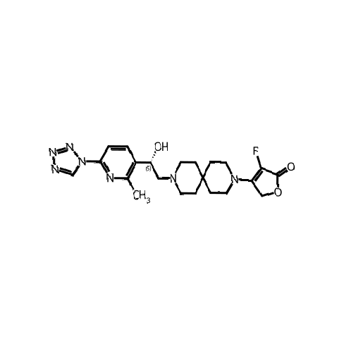 Cc1nc(-n2cnnn2)ccc1[C@H](O)CN1CCC2(CC1)CCN(C1=C(F)C(=O)OC1)CC2